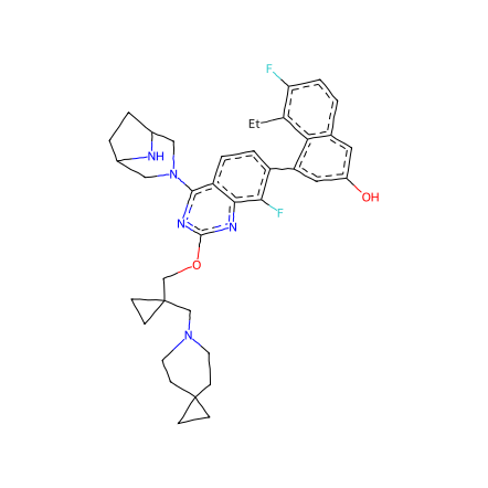 CCc1c(F)ccc2cc(O)cc(-c3ccc4c(N5CC6CCC(C5)N6)nc(OCC5(CN6CCC7(CC6)CC7)CC5)nc4c3F)c12